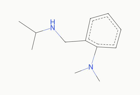 CC(C)NCc1ccccc1N(C)C